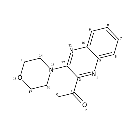 CC(=O)c1nc2ccccc2nc1N1CCOCC1